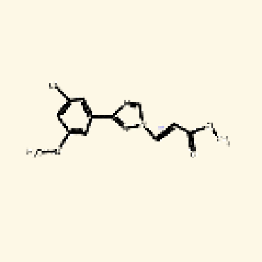 COC(=O)/C=C/n1cnc(-c2cc(Cl)cc(OC)c2)n1